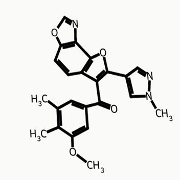 COc1cc(C(=O)c2c(-c3cnn(C)c3)oc3c2ccc2ocnc23)cc(C)c1C